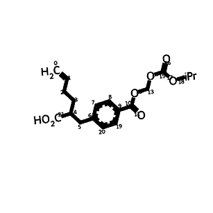 C=CCCC(Cc1ccc(C(=O)OCOC(=O)OC(C)C)cc1)C(=O)O